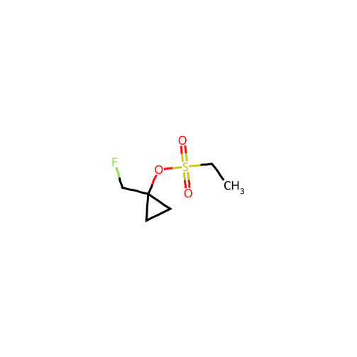 CCS(=O)(=O)OC1(CF)CC1